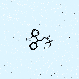 CN(CCC(c1ccccc1)c1ccccc1O)C(C)(C)CO